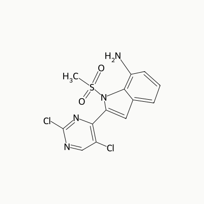 CS(=O)(=O)n1c(-c2nc(Cl)ncc2Cl)cc2cccc(N)c21